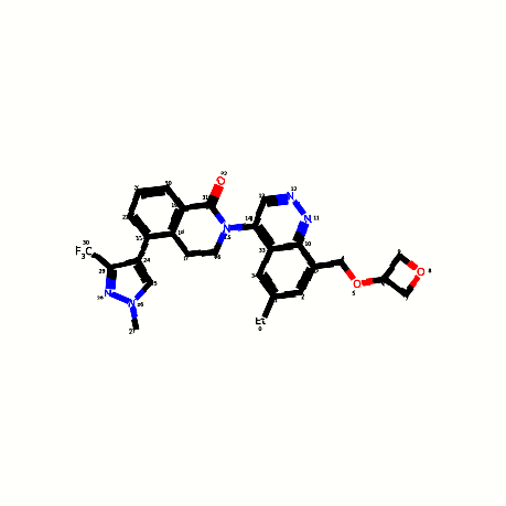 CCc1cc(COC2COC2)c2nncc(N3CCc4c(cccc4-c4cn(C)nc4C(F)(F)F)C3=O)c2c1